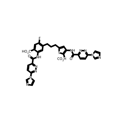 O=C(Nc1cc(CCCc2cc(NC(=O)c3ccc(-n4ccnc4)nn3)c(C(=O)O)s2)c(F)cc1C(=O)O)c1ccc(-n2ccnc2)nn1